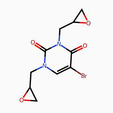 O=c1c(Br)cn(CC2CO2)c(=O)n1CC1CO1